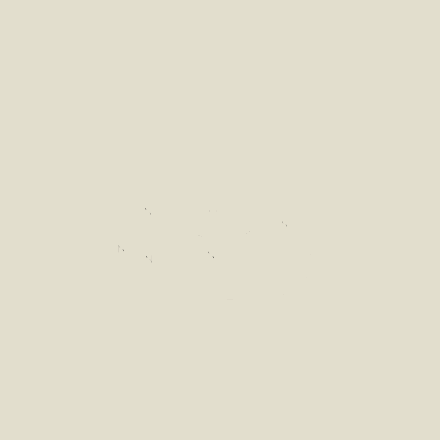 CN1C(=O)[C@@H](NC(=O)c2nnc(Cc3ccccc3)[nH]2)[C@@H]2CC2c2ccccc21